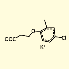 Cc1cc(Cl)ccc1OCCC(=O)[O-].[K+]